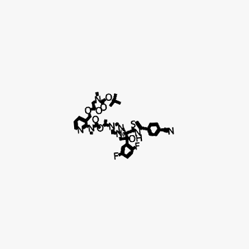 CC(OC(=O)N(C)c1ncccc1COC(=O)CN(C)C(=O)OC(C)(C)C)[n+]1cnn(CC(O)(c2cc(F)ccc2F)[C@@H](C)c2nc(-c3ccc(C#N)cc3)cs2)c1